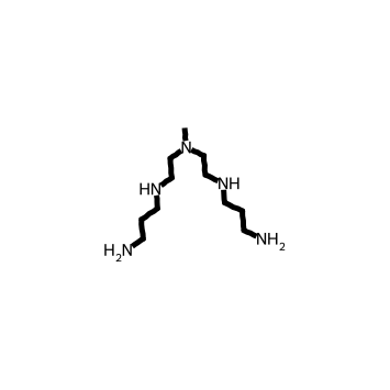 CN(CCNCCCN)CCNCCCN